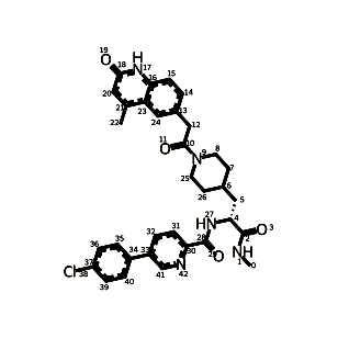 CNC(=O)[C@@H](CC1CCN(C(=O)Cc2ccc3[nH]c(=O)cc(C)c3c2)CC1)NC(=O)c1ccc(-c2ccc(Cl)cc2)cn1